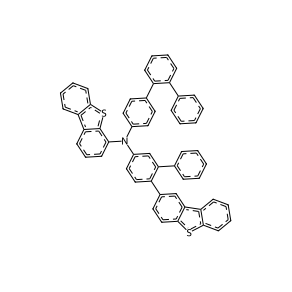 c1ccc(-c2ccccc2-c2ccc(N(c3ccc(-c4ccc5sc6ccccc6c5c4)c(-c4ccccc4)c3)c3cccc4c3sc3ccccc34)cc2)cc1